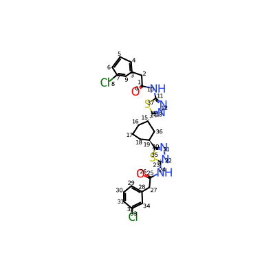 O=C(Cc1cccc(Cl)c1)Nc1nnc([C@H]2CCC[C@H](c3nnc(NC(=O)Cc4cccc(Cl)c4)s3)C2)s1